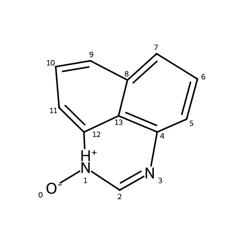 [O-][NH+]1C=Nc2cccc3cccc1c23